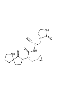 C#C[C@H](C[C@@H]1CCNC1=O)NC(=O)[C@H](CC1CC1)N1CCC2(CCCN2)C1=O